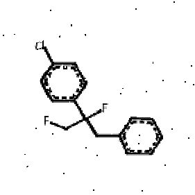 FCC(F)(Cc1ccccc1)c1ccc(Cl)cc1